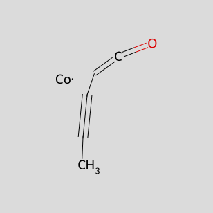 CC#CC=C=O.[Co]